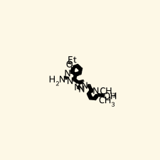 CCOc1cccc2c(-c3cn(Cc4cccc(C(C)(C)O)n4)nn3)nc(N)nc12